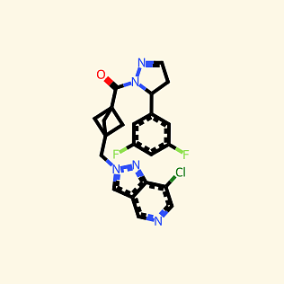 O=C(N1N=CCC1c1cc(F)cc(F)c1)C12CC(Cn3cc4cncc(Cl)c4n3)(C1)C2